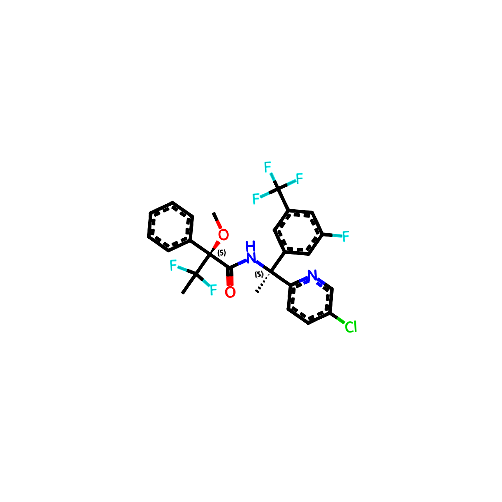 CO[C@](C(=O)N[C@@](C)(c1cc(F)cc(C(F)(F)F)c1)c1ccc(Cl)cn1)(c1ccccc1)C(C)(F)F